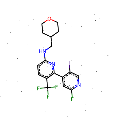 Fc1cc(-c2nc(NCC3CCOCC3)ccc2C(F)(F)F)c(I)cn1